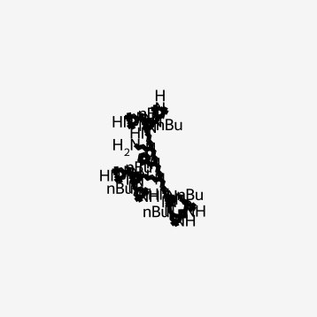 CCCCN(c1nc(NCCCN(CCCN)CCCN(CCCN(CCCNc2nc(N(CCCC)C3CC(C)(C)NC(C)(C)C3)nc(N(CCCC)C3CC(C)(C)NC(C)(C)C3)n2)CCCNc2nc3nc(n2)N(CCCC)C2CC(C)(C)NC4(C2)CC2(CC(CC(C)(C)N2)N3CCCC)C4)Cc2ccccc2)nc(N(CCCC)C2CC(C)(C)NC(C)(C)C2)n1)C1CC(C)(C)NC(C)(C)C1